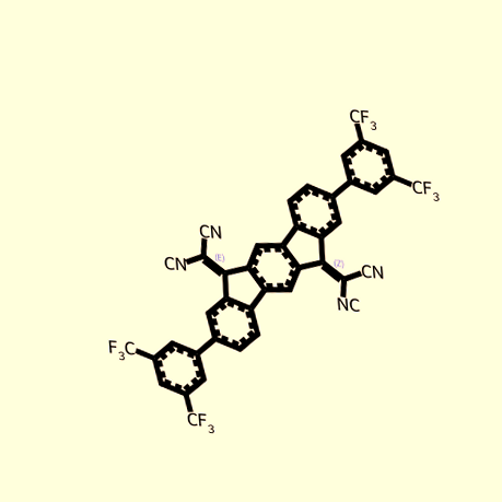 [C-]#[N+]/C(C#N)=C1/c2cc(-c3cc(C(F)(F)F)cc(C(F)(F)F)c3)ccc2-c2cc3c(cc21)-c1ccc(-c2cc(C(F)(F)F)cc(C(F)(F)F)c2)cc1/C3=C(/C#N)[N+]#[C-]